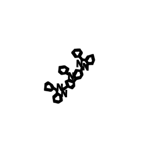 c1ccc(-c2nc(-c3ccc4c5ccc(-c6nc(-c7ccccc7)c7ccccc7n6)cc5n(-c5ccccc5)c4c3)nc3ccccc23)cc1